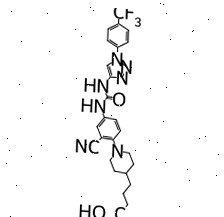 N#Cc1cc(NC(=O)Nc2cn(-c3ccc(C(F)(F)F)cc3)nn2)ccc1N1CCC(CCCC(=O)O)CC1